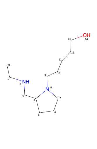 CCNCC1CCCN1CCCCCO